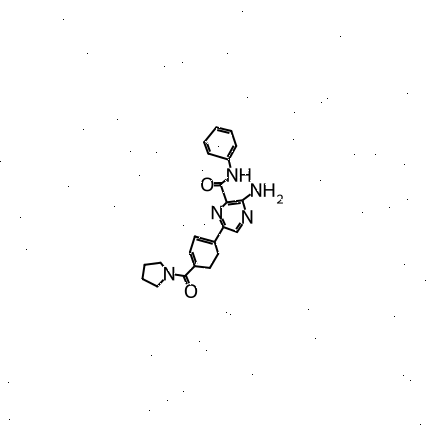 Nc1ncc(C2=CC=C(C(=O)N3CCCC3)CC2)nc1C(=O)Nc1ccccc1